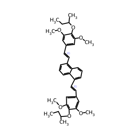 CCC(C)Oc1c(OC)cc(/C=C/c2cccc3c(/C=C/c4cc(OC)c(OC(C)CC)c(OC)c4)cccc23)cc1OC